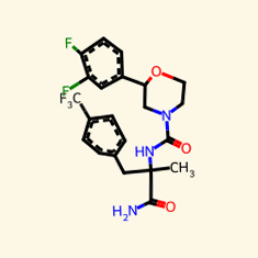 CC(Cc1ccc(C(F)(F)F)cc1)(NC(=O)N1CCOC(c2ccc(F)c(F)c2)C1)C(N)=O